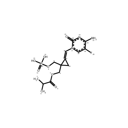 CC(C)C(=O)OCC1(COP(=O)(O)O)CC1=Cn1cc(F)c(N)nc1=O